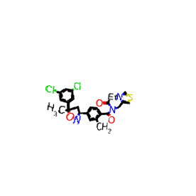 CCC(=O)N(Cc1cscn1)C(=O)c1ccc(C2=NOC(C)(c3cc(Cl)cc(Cl)c3)C2)cc1C